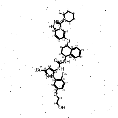 C[C@H]1CCCCN1c1nnc2ccc(O[C@@H]3CC[C@H](NC(=O)Nc4cc(C(C)(C)C)nn4-c4cc(OCCO)ccc4F)c4ccccc43)cn12